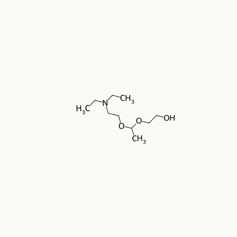 CCN(CC)CCOC(C)OCCO